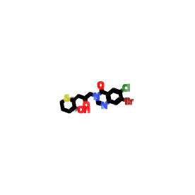 O=C(C[C@@H]1SCCC[C@H]1O)Cn1cnc2cc(Br)c(Cl)cc2c1=O